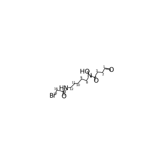 O=CCCC(=O)N(O)CCCCCNC(=O)CBr